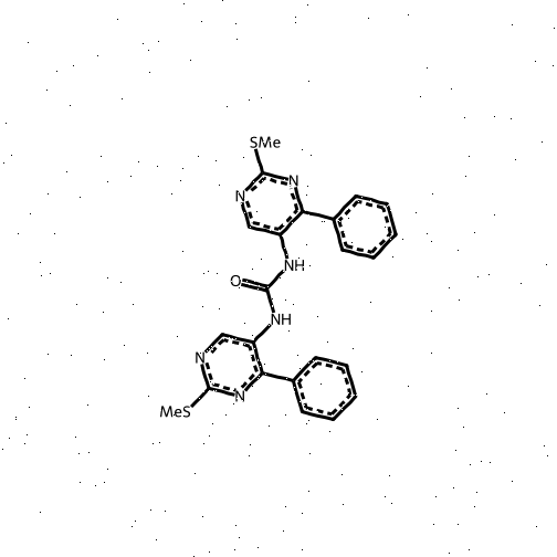 CSc1ncc(NC(=O)Nc2cnc(SC)nc2-c2ccccc2)c(-c2ccccc2)n1